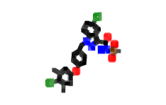 Cc1cc(Oc2ccc(Cn3nc(C(=O)NS(C)(=O)=O)c4cc(Cl)ccc43)cc2)cc(C)c1Cl